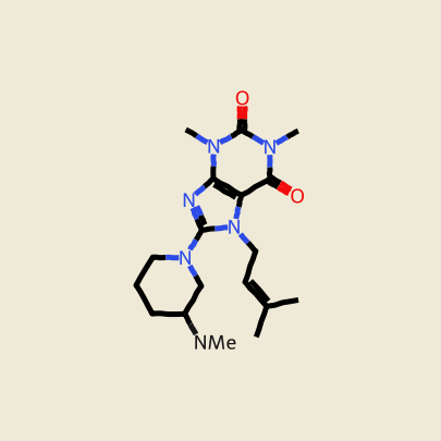 CNC1CCCN(c2nc3c(c(=O)n(C)c(=O)n3C)n2CC=C(C)C)C1